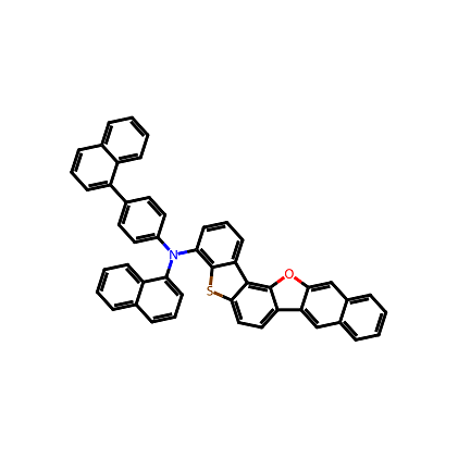 c1ccc2cc3c(cc2c1)oc1c3ccc2sc3c(N(c4ccc(-c5cccc6ccccc56)cc4)c4cccc5ccccc45)cccc3c21